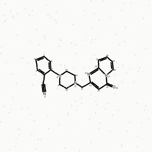 N#Cc1ccccc1N1CCN(Cc2cc(=O)n3ccccc3n2)CC1